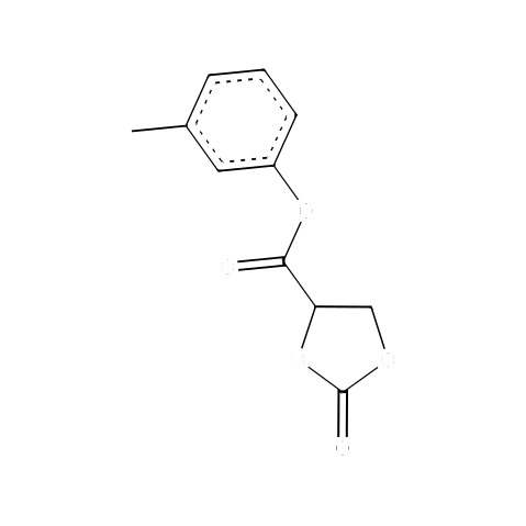 Cc1cccc(OC(=O)C2COC(=O)O2)c1